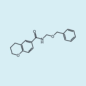 O=C(NCOCc1ccccc1)c1ccc2c(c1)CCCO2